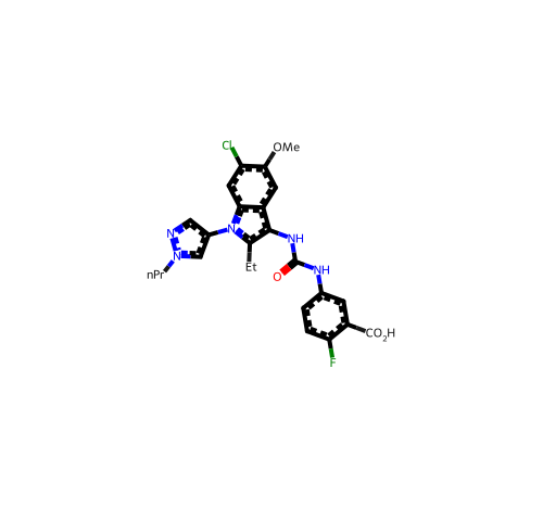 CCCn1cc(-n2c(CC)c(NC(=O)Nc3ccc(F)c(C(=O)O)c3)c3cc(OC)c(Cl)cc32)cn1